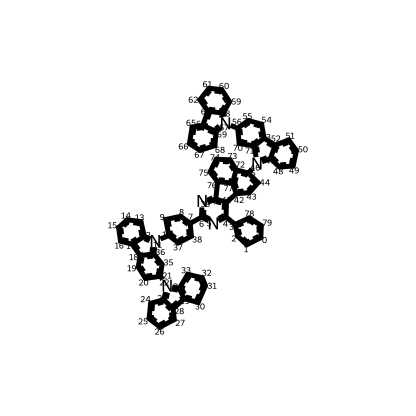 c1ccc(-c2nc(-c3ccc(-n4c5ccccc5c5ccc(-n6c7ccccc7c7ccccc76)cc54)cc3)nc3c2-c2ccc(-n4c5ccccc5c5ccc(-n6c7ccccc7c7ccccc76)cc54)c4cccc-3c24)cc1